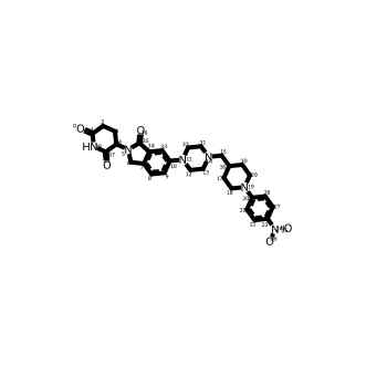 O=C1CCC(N2Cc3ccc(N4CCN(CC5CCN(c6ccc([N+](=O)[O-])cc6)CC5)CC4)cc3C2=O)C(=O)N1